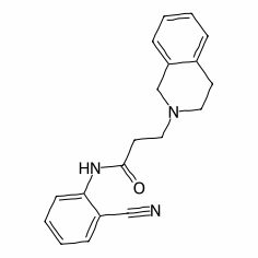 N#Cc1ccccc1NC(=O)CCN1CCc2ccccc2C1